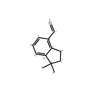 CC1(C)CCc2c(C=O)cccc21